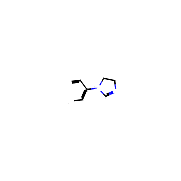 C=CC(=CC)N1C=NCC1